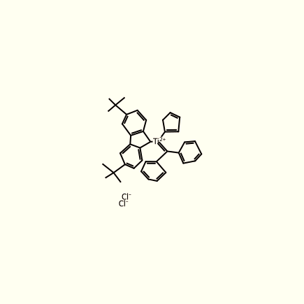 CC(C)(C)c1ccc2c(c1)-c1cc(C(C)(C)C)ccc1[CH]2[Ti+2]([C]1=CC=CC1)=[C](c1ccccc1)c1ccccc1.[Cl-].[Cl-]